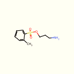 Cc1ccccc1S(=O)(=O)OCCCN